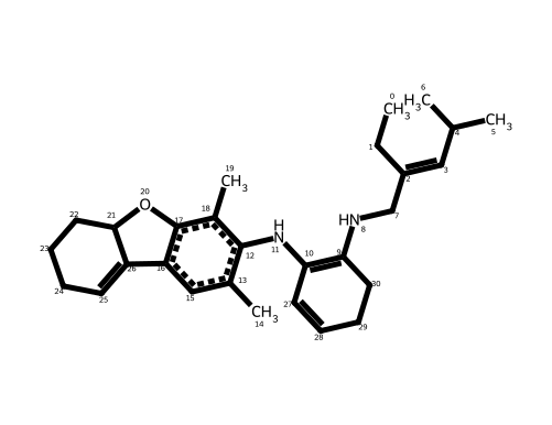 CC/C(=C\C(C)C)CNC1=C(Nc2c(C)cc3c(c2C)OC2CCCC=C32)C=CCC1